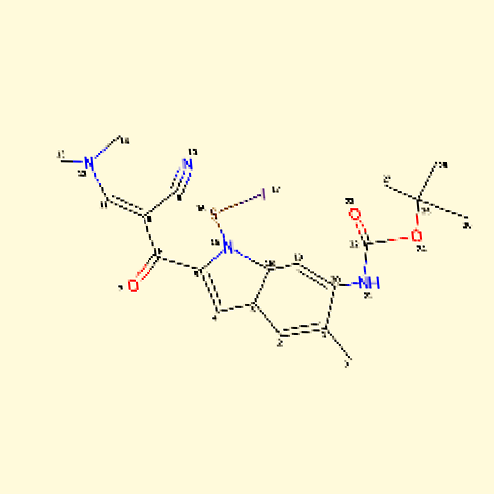 CC1=CC2C=C(C(=O)/C(C#N)=C/N(C)C)N(SI)C2C=C1NC(=O)OC(C)(C)C